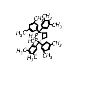 Cc1cc(C)cc(C(P)(c2cc(C)cc(C)c2)[C@H]2CC[C@@H]2C(P)(c2cc(C)cc(C)c2)c2cc(C)cc(C)c2)c1